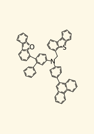 c1ccc(-c2cc(N(Cc3cccc4c3sc3ccccc34)c3ccc(-c4cc5ccccc5c5ccccc45)cc3)ccc2-c2cccc3c2oc2ccccc23)cc1